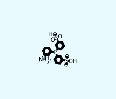 N.N.O=S(=O)(O)c1cccc(P(c2ccccc2)c2cccc(S(=O)(=O)O)c2)c1